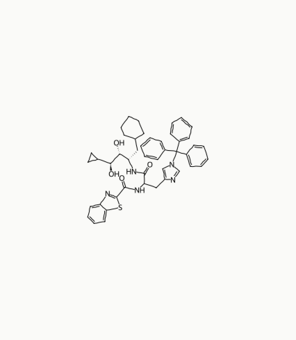 O=C(NC(Cc1cn(C(c2ccccc2)(c2ccccc2)c2ccccc2)cn1)C(=O)N[C@@H](CC1CCCCC1)[C@@H](O)[C@@H](O)C1CC1)c1nc2ccccc2s1